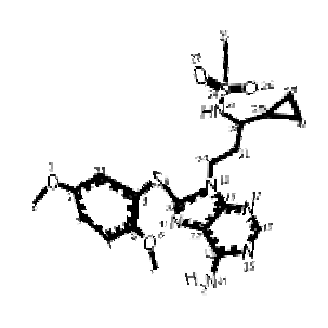 COc1ccc(OC)c(Sc2nc3c(N)ncnc3n2CCC(NS(C)(=O)=O)C2CC2)c1